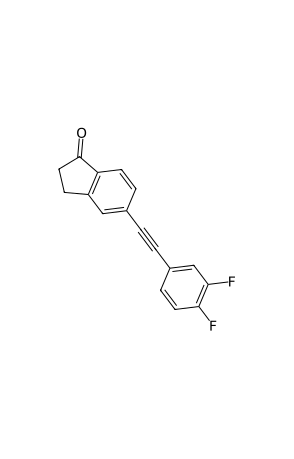 O=C1CCc2cc(C#Cc3ccc(F)c(F)c3)ccc21